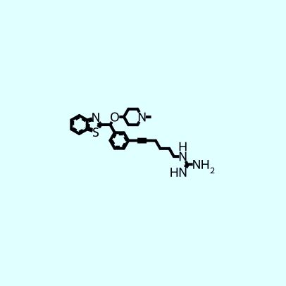 CN1CCC(OC(c2cccc(C#CCCCCNC(=N)N)c2)c2nc3ccccc3s2)CC1